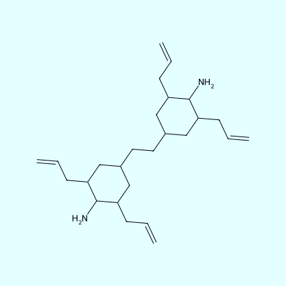 C=CCC1CC(CCC2CC(CC=C)C(N)C(CC=C)C2)CC(CC=C)C1N